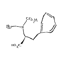 CC(C)(C)N(C(=O)O)[C@@H](Cc1ccccc1)C(=O)O